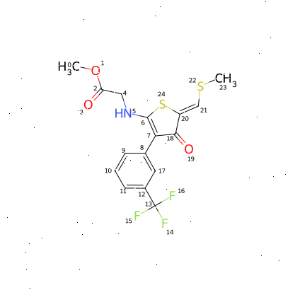 COC(=O)CNC1=C(c2cccc(C(F)(F)F)c2)C(=O)C(=CSC)S1